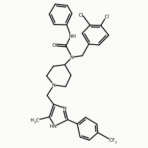 Cc1[nH]c(-c2ccc(C(F)(F)F)cc2)nc1CN1CCC(N(Cc2ccc(Cl)c(Cl)c2)C(=O)Nc2ccccc2)CC1